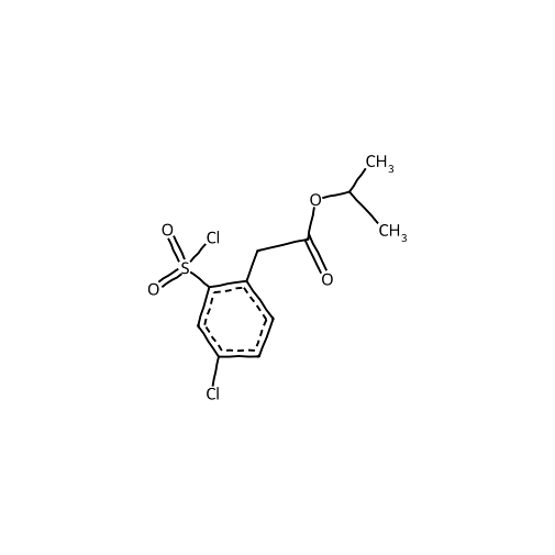 CC(C)OC(=O)Cc1ccc(Cl)cc1S(=O)(=O)Cl